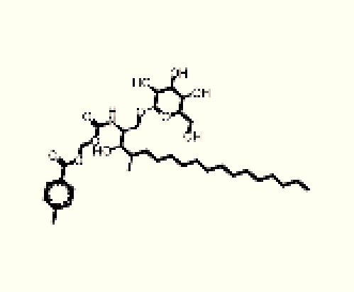 CCCCCCCCCCCCCC[C@@H](C)[C@@H](O)[C@H](CO[C@H]1OC(CO)[C@H](O)[C@H](O)C1O)NC(=O)OCOC(=O)c1ccc(C)cc1